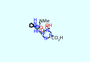 C=C(OO)N1CCN(CC(=O)O)CCN(C)CCN(CC(=O)NC(Cc2c[nH]c3ccccc23)C(=O)NCCNC)CC1